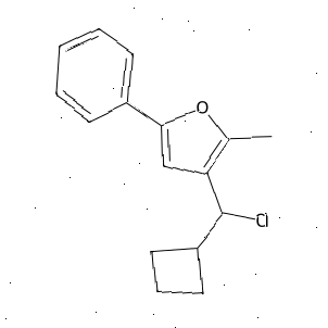 Cc1oc(-c2ccccc2)cc1C(Cl)C1CCC1